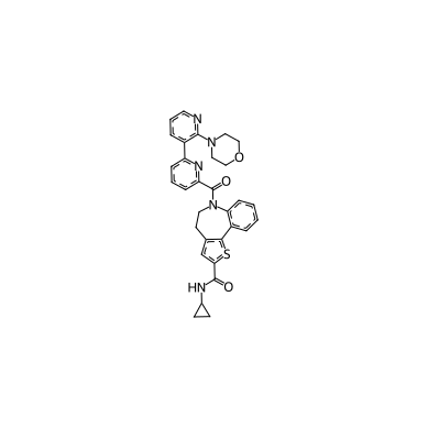 O=C(NC1CC1)c1cc2c(s1)-c1ccccc1N(C(=O)c1cccc(-c3cccnc3N3CCOCC3)n1)CC2